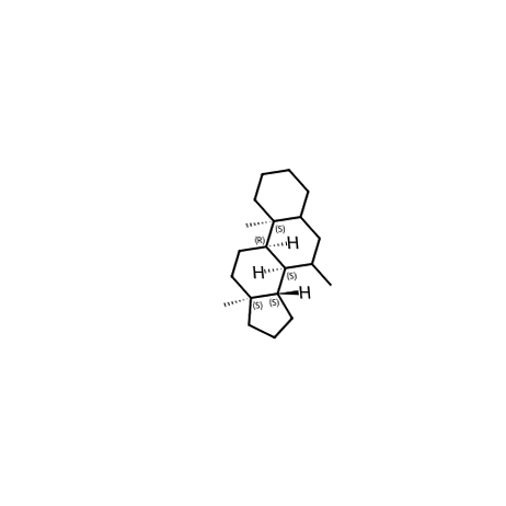 CC1CC2CCCC[C@]2(C)[C@@H]2CC[C@]3(C)CCC[C@H]3[C@H]12